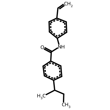 C=Cc1ccc(NC(=O)c2ccc(C(C)CC)cc2)cc1